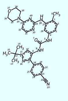 Cc1ccc(NC(=O)Nc2cn(C(C)(C)C)nc2-c2ccc(C#N)cc2)cc1Nc1nccc(N2CCOCC2)n1